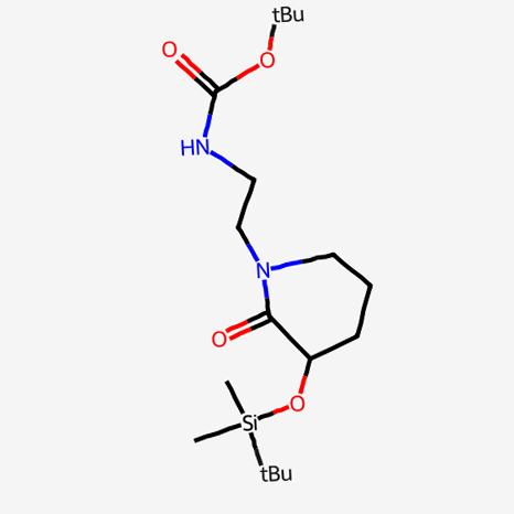 CC(C)(C)OC(=O)NCCN1CCCC(O[Si](C)(C)C(C)(C)C)C1=O